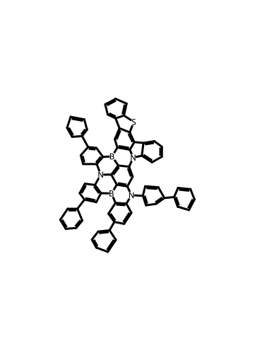 c1ccc(-c2ccc(N3c4ccc(-c5ccccc5)cc4B4c5cc(-c6ccccc6)ccc5N5c6ccc(-c7ccccc7)cc6B6c7c(cc3c4c75)-n3c4ccccc4c4c5sc7ccccc7c5cc6c43)cc2)cc1